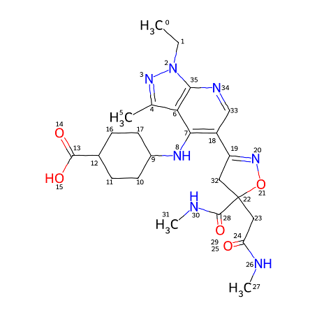 CCn1nc(C)c2c(NC3CCC(C(=O)O)CC3)c(C3=NOC(CC(=O)NC)(C(=O)NC)C3)cnc21